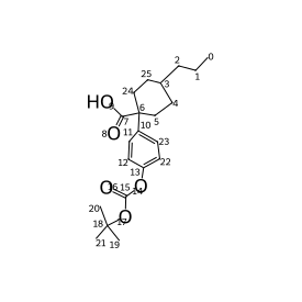 CCCC1CCC(C(=O)O)(c2ccc(OC(=O)OC(C)(C)C)cc2)CC1